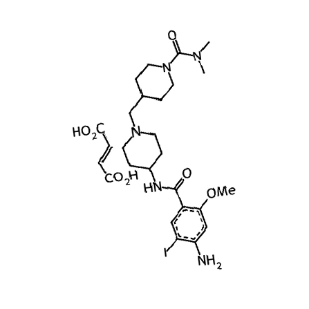 COc1cc(N)c(I)cc1C(=O)NC1CCN(CC2CCN(C(=O)N(C)C)CC2)CC1.O=C(O)/C=C/C(=O)O